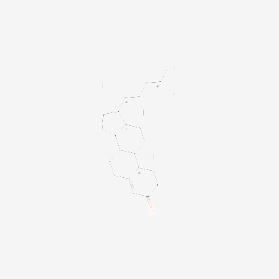 CC[C@H](CC[C@@H](C)C1CCC2C3CCC4=CC(=O)CC[C@]4(C)C3CC[C@@]21C)C(C)C